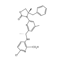 Cc1cc([C@@H](C)Nc2ccc(Cl)nc2C(=O)O)nc(N2C(=O)OC[C@]2(C)Cc2ccccc2)c1